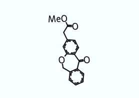 COC(=O)Cc1ccc2c(c1)OCc1ccccc1C2=O